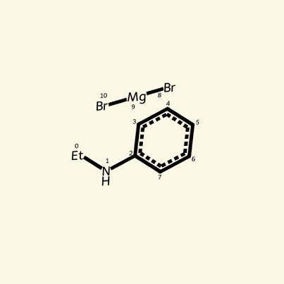 CCNc1ccccc1.[Br][Mg][Br]